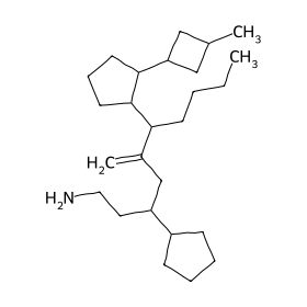 C=C(CC(CCN)C1CCCC1)C(CCCC)C1CCCC1C1CC(C)C1